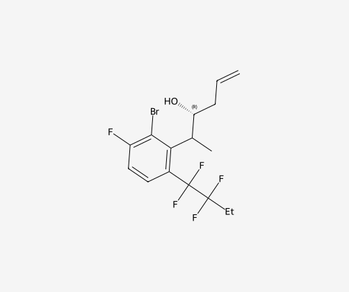 C=CC[C@@H](O)C(C)c1c(C(F)(F)C(F)(F)CC)ccc(F)c1Br